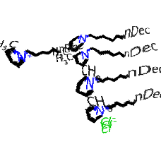 CCCCCCCCCCCCCCCCN1C=CC(C)=CC1.CCCCCCCCCCCCCCCCN1C=CC=C(C)C1.CCCCCCCCCCCCCCCC[n+]1ccccc1C.CCCCCCCCCCCCCCCC[n+]1ccccc1C.CCCCCCCCCCCCCCCC[n+]1ccccc1C.[Cl-].[Cl-].[Cl-]